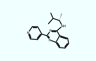 CC(C)[C@H](C)Nc1nc(-c2ccncc2)nc2ccccc12